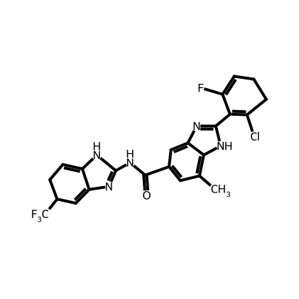 Cc1cc(C(=O)Nc2nc3c([nH]2)=CCC(C(F)(F)F)C=3)cc2nc(C3=C(Cl)CCC=C3F)[nH]c12